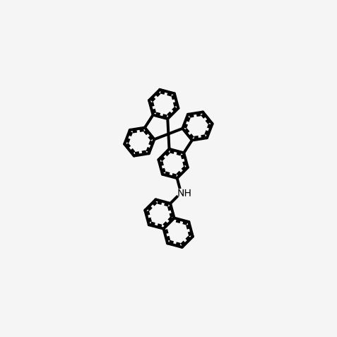 c1ccc2c(c1)-c1ccccc1C21c2ccccc2-c2cc(Nc3cccc4ccccc34)ccc21